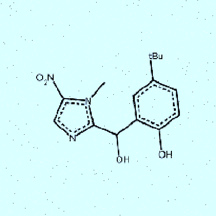 Cn1c([N+](=O)[O-])cnc1C(O)c1cc(C(C)(C)C)ccc1O